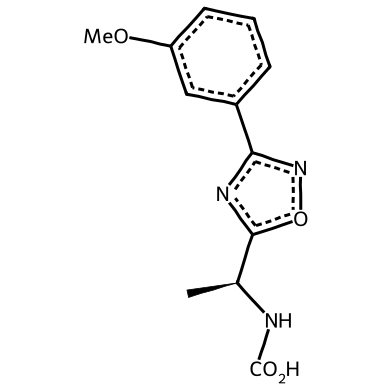 COc1cccc(-c2noc([C@H](C)NC(=O)O)n2)c1